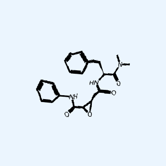 CN(C)C(=O)[C@H](Cc1ccccc1)NC(=O)C1OC1C(=O)Nc1ccccc1